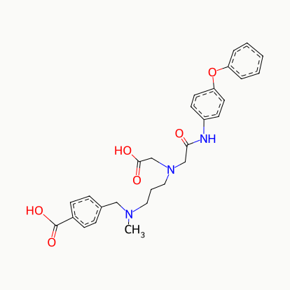 CN(CCCN(CC(=O)O)CC(=O)Nc1ccc(Oc2ccccc2)cc1)Cc1ccc(C(=O)O)cc1